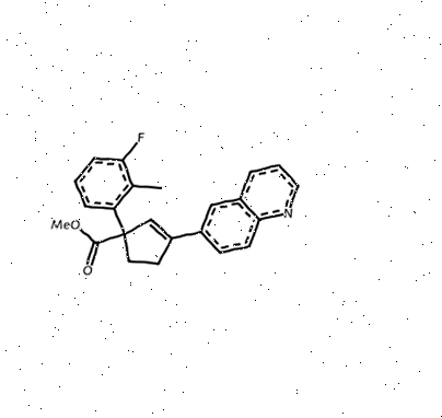 COC(=O)C1(c2cccc(F)c2C)C=C(c2ccc3ncccc3c2)CC1